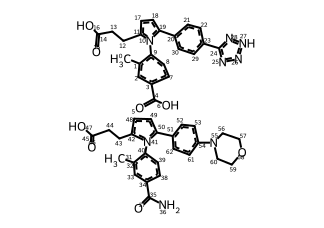 Cc1cc(C(=O)O)ccc1-n1c(CCC(=O)O)ccc1-c1ccc(-c2nn[nH]n2)cc1.Cc1cc(C(N)=O)ccc1-n1c(CCC(=O)O)ccc1-c1ccc(N2CCOCC2)cc1